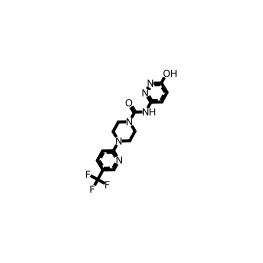 O=C(Nc1ccc(O)nn1)N1CCN(c2ccc(C(F)(F)F)cn2)CC1